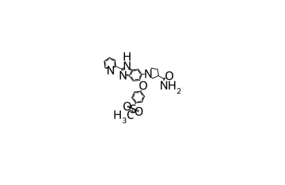 CS(=O)(=O)c1ccc(Oc2cc3nc(-c4ccccn4)[nH]c3cc2N2CCC(C(N)=O)C2)cc1